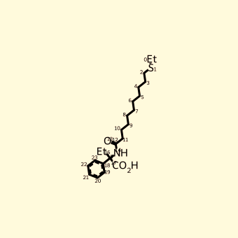 CCSCCCCCCCCCCC(=O)NC(CC)(C(=O)O)c1ccccc1